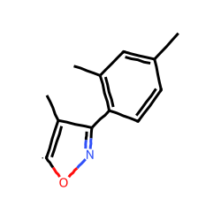 Cc1ccc(-c2no[c]c2C)c(C)c1